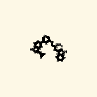 N[C@H](COc1cncc(-c2ccc3[nH]nc(C4CC4)c3c2)c1)Cc1c[nH]c2ccccc12